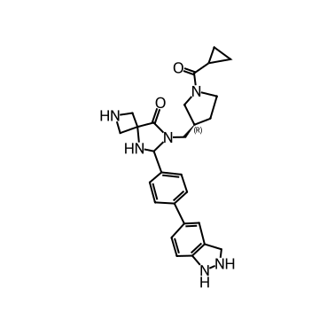 O=C(C1CC1)N1CC[C@@H](CN2C(=O)C3(CNC3)NC2c2ccc(-c3ccc4c(c3)CNN4)cc2)C1